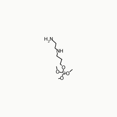 CO[Si](OC)(OC)OCCCNCCN